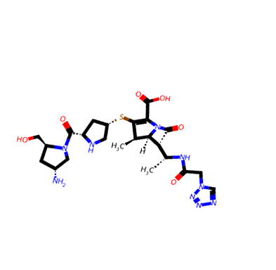 C[C@@H](NC(=O)Cn1cnnn1)[C@H]1C(=O)N2C(C(=O)O)=C(S[C@@H]3CN[C@H](C(=O)N4C[C@H](N)C[C@H]4CO)C3)[C@H](C)[C@H]12